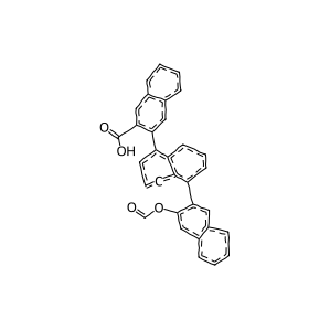 O=COc1cc2ccccc2cc1-c1cccc2c(-c3cc4ccccc4cc3C(=O)O)cccc12